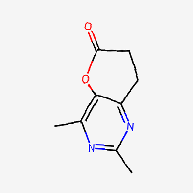 Cc1nc(C)c2c(n1)CCC(=O)O2